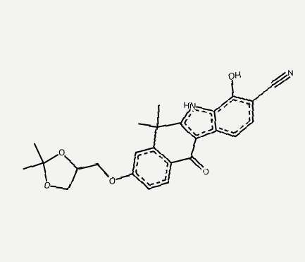 CC1(C)OCC(COc2ccc3c(c2)C(C)(C)c2[nH]c4c(O)c(C#N)ccc4c2C3=O)O1